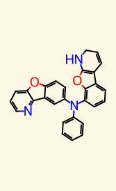 C1=Cc2c(oc3c(N(c4ccccc4)c4ccc5oc6cccnc6c5c4)cccc23)NC1